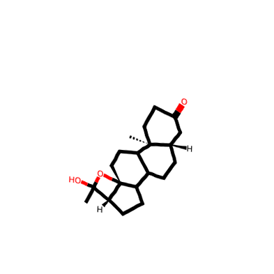 CC1(O)O[C@]23CCC4C(CC[C@H]5CC(=O)CC[C@]45C)C2CC[C@H]13